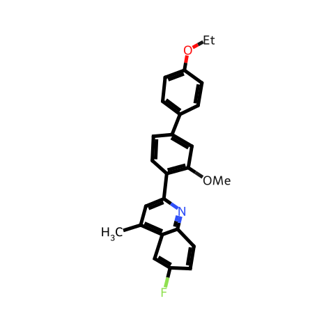 CCOc1ccc(-c2ccc(-c3cc(C)c4cc(F)ccc4n3)c(OC)c2)cc1